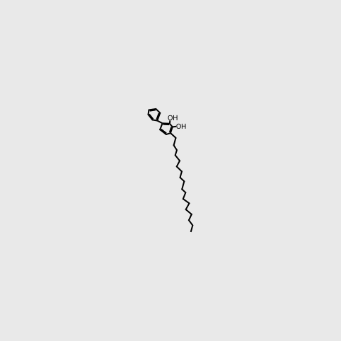 CCCCCCCCCCCCCCCCCCc1ccc(-c2ccccc2)c(O)c1O